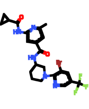 Cc1cc(C(=O)NC2CCCN(c3ncc(C(F)(F)F)cc3Br)C2)cc(NC(=O)C2CC2)n1